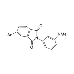 CNc1cccc(N2C(=O)c3ccc(C(C)=O)cc3C2=O)c1